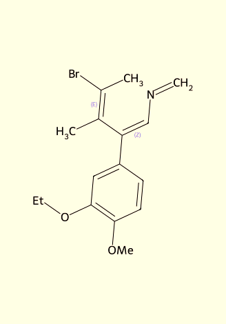 C=N/C=C(\C(C)=C(/C)Br)c1ccc(OC)c(OCC)c1